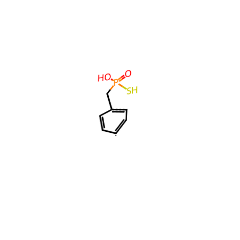 O=P(O)(S)Cc1cc[c]cc1